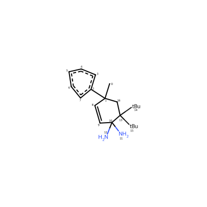 CC1(c2ccccc2)C=CC(N)(N)C(C(C)(C)C)(C(C)(C)C)C1